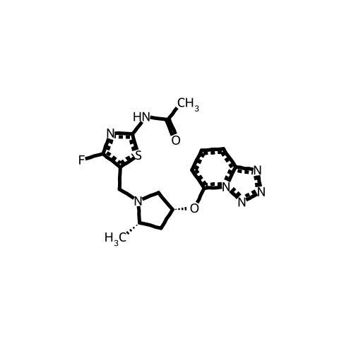 CC(=O)Nc1nc(F)c(CN2C[C@H](Oc3cccc4nnnn34)C[C@@H]2C)s1